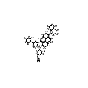 N#Cc1ccc(N(c2ccc(-c3ccccc3)cn2)c2ccc3ccc4c(N5CCCc6ccccc65)ccc5ccc2c3c54)cc1